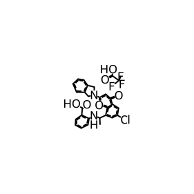 CC(Nc1ccccc1C(=O)O)c1cc(Cl)cc2c(=O)cc(N3Cc4ccccc4C3)oc12.O=C(O)C(F)(F)F